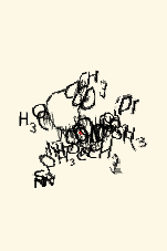 CO[C@@H]1[C@@H](O[C@@H]2O[C@H](C)[C@@H](O[C@H]3C[C@@](C)(O)[C@@H](OC(=O)CC(C)C)[C@H](C)O3)[C@H](N(C)C)[C@H]2O)[C@@H](CCNCc2ccc(-c3cnns3)cc2)C[C@@H](C)C(=O)C=CC=CC[C@@H](C)OC(=O)C[C@@H]1O